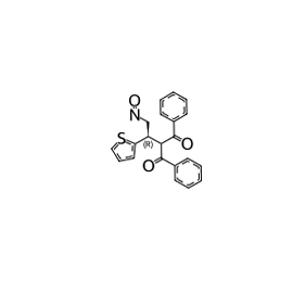 O=NC[C@H](c1cccs1)C(C(=O)c1ccccc1)C(=O)c1ccccc1